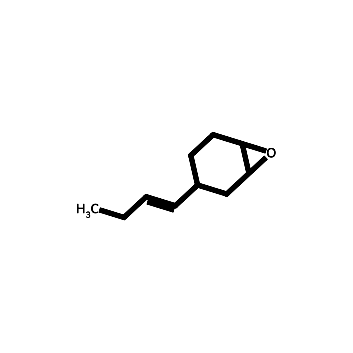 CC/C=C/C1CCC2OC2C1